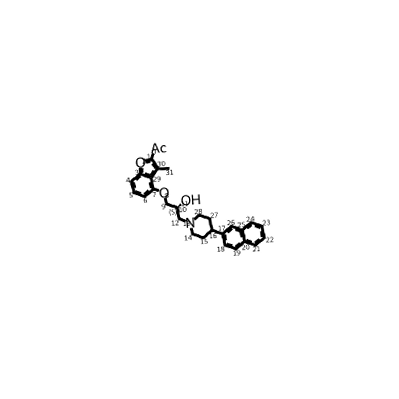 CC(=O)c1oc2cccc(OC[C@@H](O)CN3CCC(c4ccc5ccccc5c4)CC3)c2c1C